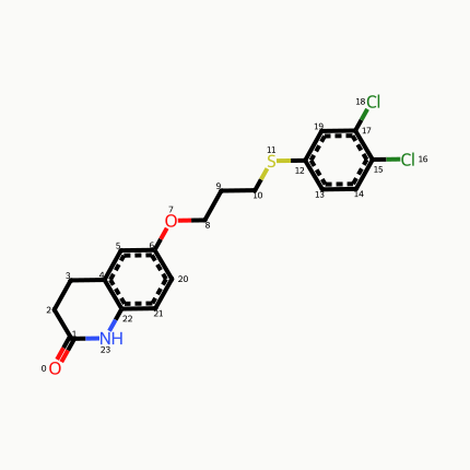 O=C1CCc2cc(OCCCSc3ccc(Cl)c(Cl)c3)ccc2N1